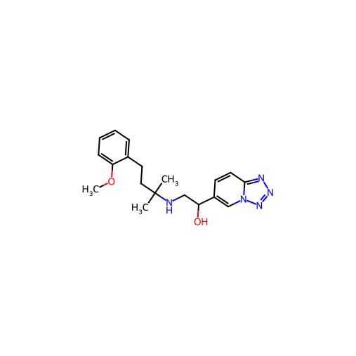 COc1ccccc1CCC(C)(C)NCC(O)c1ccc2nnnn2c1